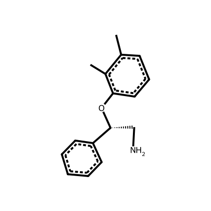 Cc1cccc(O[C@H](CN)c2ccccc2)c1C